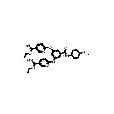 CCOC(=N)c1ccc(Oc2cc(Oc3ccc(C(=N)OCC)cn3)cc(C(=O)NC3CCC(N)CC3)c2)nc1